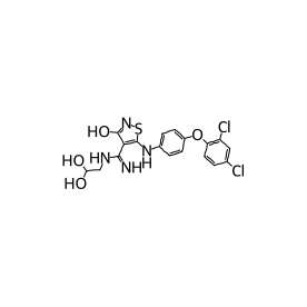 N=C(NCC(O)O)c1c(O)nsc1Nc1ccc(Oc2ccc(Cl)cc2Cl)cc1